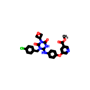 COC(=O)c1cncc(Oc2ccc(NC3NC(=O)N(C4COC4)C(=O)N3Cc3ccc(Cl)cc3)cc2)c1